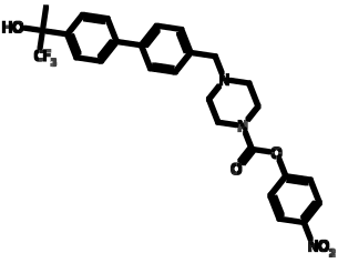 CC(O)(c1ccc(-c2ccc(CN3CCN(C(=O)Oc4ccc([N+](=O)[O-])cc4)CC3)cc2)cc1)C(F)(F)F